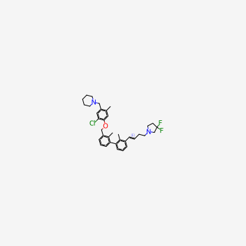 Cc1cc(OCc2cccc(-c3cccc(/C=C/CCN4CCC(F)(F)C4)c3C)c2C)c(Cl)cc1CN1CCCCC1